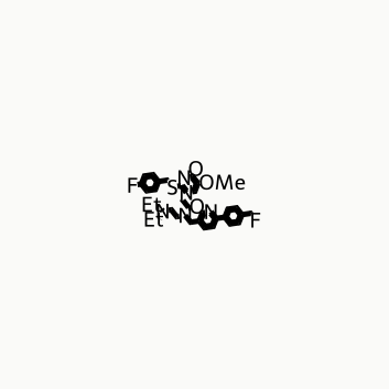 CCN(CC)CCN(Cc1ccc(-c2ccc(CF)cc2)nc1)C(=O)Cn1cc(OC)c(=O)nc1SCc1ccc(F)cc1